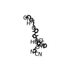 Cc1c(COc2cc(OCc3cncc(C#N)c3)c(CN3CCCC[C@H]3C(=O)O)cc2Cl)cccc1-c1cccc(OCCCN2CCC3(CCCC(=O)N3)CC2)c1C